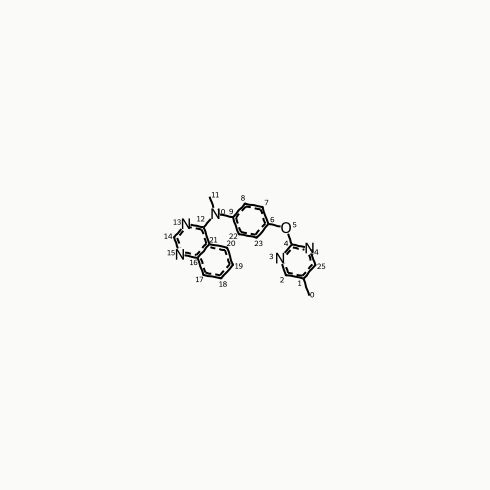 Cc1cnc(Oc2ccc(N(C)c3ncnc4ccccc34)cc2)nc1